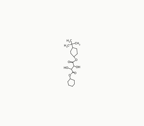 CC(C)(C)C1CCC(OC(=O)C(O)C(O)C(=O)OC2CCCCC2)CC1